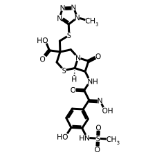 Cn1nnnc1SCC1(C(=O)O)CS[C@@H]2C(NC(=O)C(=NO)c3ccc(O)c(NS(C)(=O)=O)c3)C(=O)N2C1